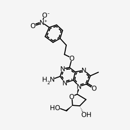 Cc1nc2c(OCCc3ccc([N+](=O)[O-])cc3)nc(N)nc2n([C@H]2C[C@H](O)[C@@H](CO)O2)c1=O